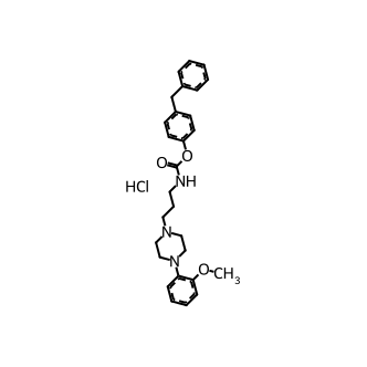 COc1ccccc1N1CCN(CCCNC(=O)Oc2ccc(Cc3ccccc3)cc2)CC1.Cl